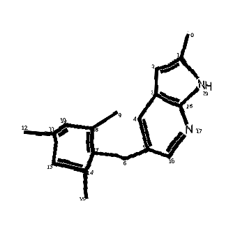 [CH2]c1cc2cc(Cc3c(C)cc(C)cc3C)cnc2[nH]1